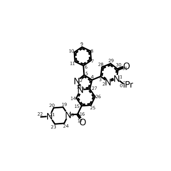 CC(C)n1nc(-c2c(-c3ccccc3)nn3cc(C(=O)N4CCN(C)CC4)ccc23)ccc1=O